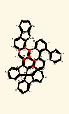 c1ccc(-c2ccccc2-c2c(-c3ccccc3)cccc2N(c2ccc3c(c2)-c2ccccc2C32c3ccccc3-c3ccccc32)c2cccc3c2oc2ccccc23)cc1